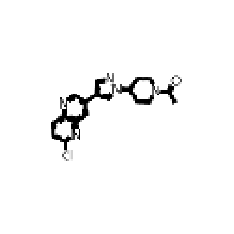 CC(=O)N1CCC(n2cc(-c3cnc4ccc(Cl)nc4c3)cn2)CC1